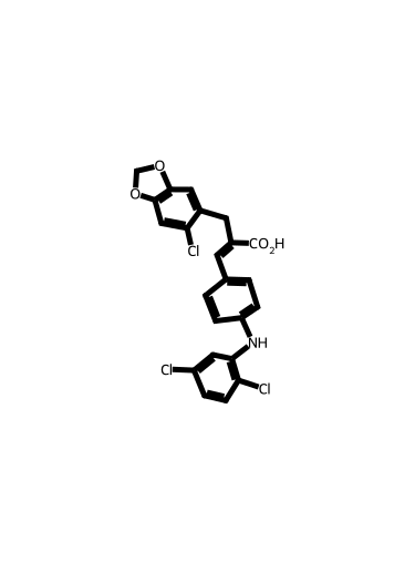 O=C(O)C(=Cc1ccc(Nc2cc(Cl)ccc2Cl)cc1)Cc1cc2c(cc1Cl)OCO2